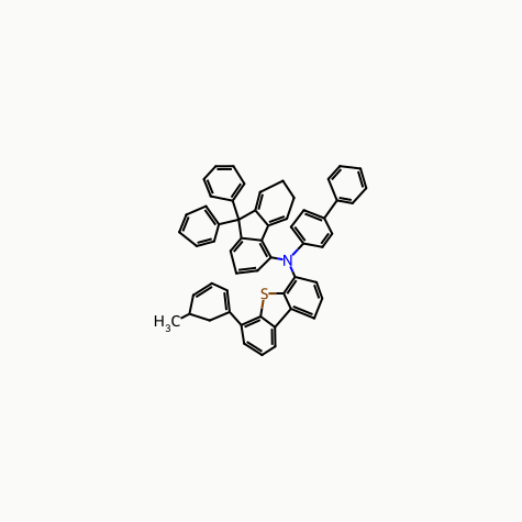 CC1C=CC=C(c2cccc3c2sc2c(N(c4ccc(-c5ccccc5)cc4)c4cccc5c4C4=CCCC=C4C5(c4ccccc4)c4ccccc4)cccc23)C1